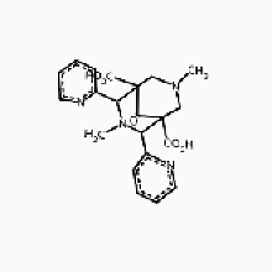 CN1CC2(C(=O)O)C(=O)C(C(=O)O)(C1)C(c1ccccn1)N(C)C2c1ccccn1